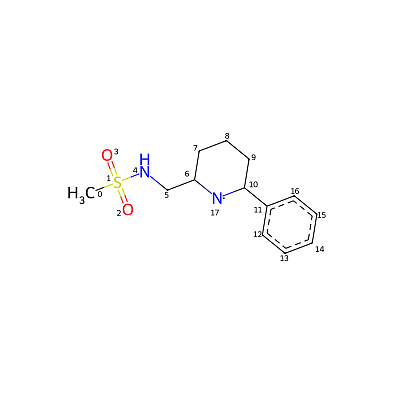 CS(=O)(=O)NCC1CCCC(c2ccccc2)[N]1